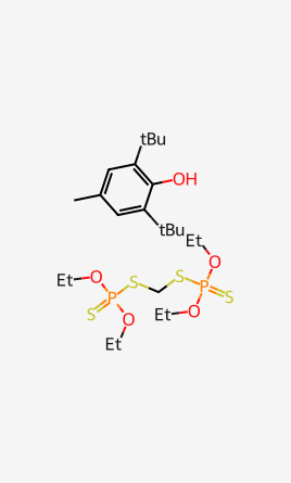 CCOP(=S)(OCC)SCSP(=S)(OCC)OCC.Cc1cc(C(C)(C)C)c(O)c(C(C)(C)C)c1